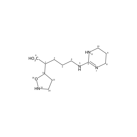 O=C(O)C(CCCNC1=NCCCN1)C1CCNO1